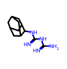 N=C(N)NC(=N)NC1C2CC3CC(C2)CC1C3